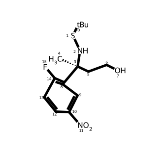 CC(C)(C)SN[C@@](C)(CCO)c1cc([N+](=O)[O-])ccc1F